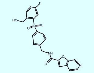 O=C(NCc1ccc(S(=O)(=O)c2cc(F)ccc2CO)cc1)c1cc2ccncc2o1